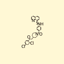 O=C(CC1CCCN(C(=O)c2ccc(NSc3cccc4cccnc34)cc2)CC1)C1=CC=C(Cl)CC1Cl